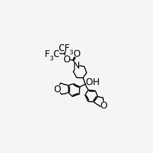 O=C(OC(C(F)(F)F)C(F)(F)F)N1CCC(C(O)(c2ccc3c(c2)COC3)c2ccc3c(c2)COC3)CC1